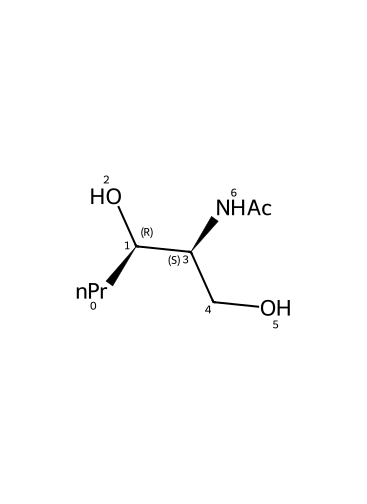 CCC[C@@H](O)[C@H](CO)NC(C)=O